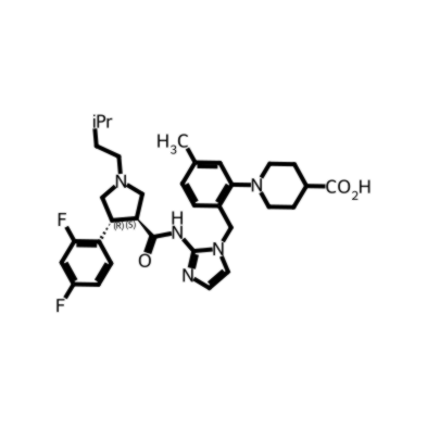 Cc1ccc(Cn2ccnc2NC(=O)[C@@H]2CN(CCC(C)C)C[C@H]2c2ccc(F)cc2F)c(N2CCC(C(=O)O)CC2)c1